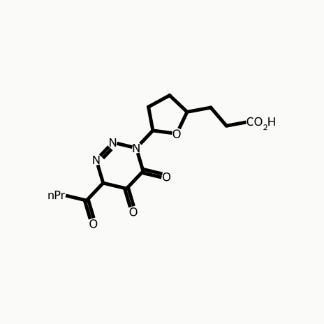 CCCC(=O)C1N=NN(C2CCC(CCC(=O)O)O2)C(=O)C1=O